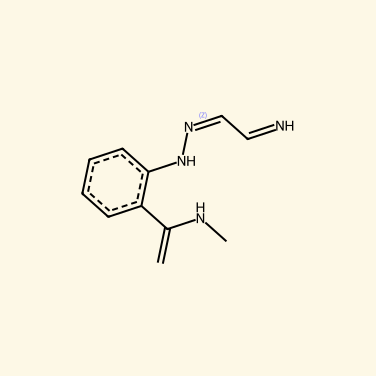 C=C(NC)c1ccccc1N/N=C\C=N